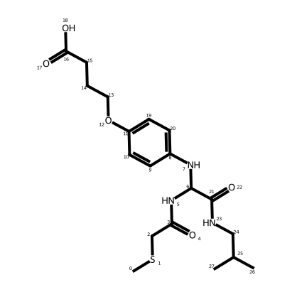 CSCC(=O)NC(Nc1ccc(OCCCC(=O)O)cc1)C(=O)NCC(C)C